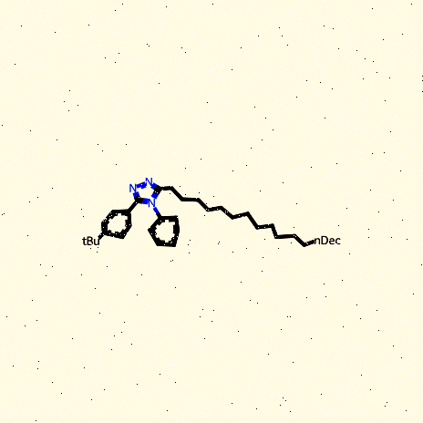 CCCCCCCCCCCCCCCCCCCCCCc1nnc(-c2ccc(C(C)(C)C)cc2)n1-c1ccccc1